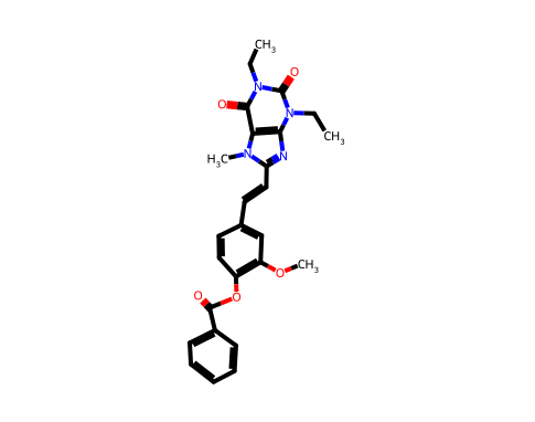 CCn1c(=O)c2c(nc(/C=C/c3ccc(OC(=O)c4ccccc4)c(OC)c3)n2C)n(CC)c1=O